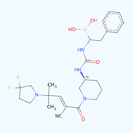 CC(C)(C=C(C#N)C(=O)N1CCC[C@H](NC(=O)NC(Cc2ccccc2)B(O)O)C1)N1CCC(F)(F)C1